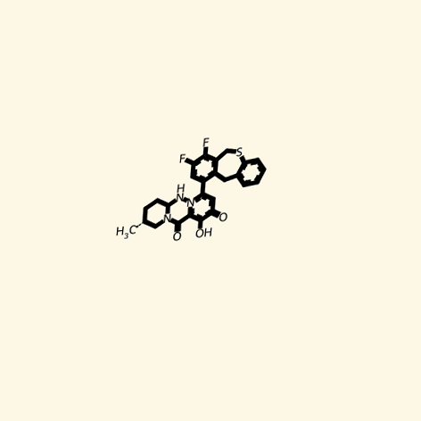 C[C@@H]1CCC2Nn3c(-c4cc(F)c(F)c5c4Cc4ccccc4SC5)cc(=O)c(O)c3C(=O)N2C1